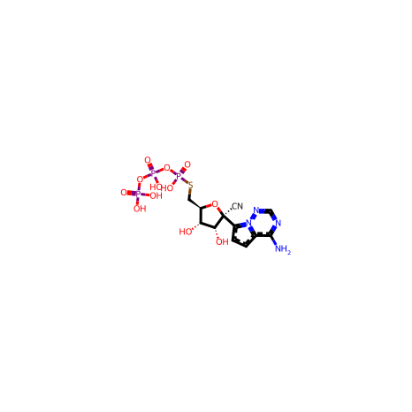 N#C[C@@]1(c2ccc3c(N)ncnn23)O[C@H](CSP(=O)(O)OP(=O)(O)OP(=O)(O)O)[C@@H](O)[C@H]1O